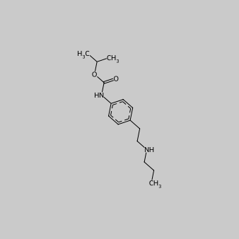 CCCNCCc1ccc(NC(=O)OC(C)C)cc1